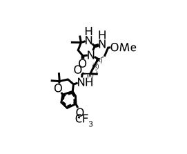 COCC[C@H]([C@@H]1C[C@H]1C(=O)NC1CC(C)(C)Oc2ccc(OC(F)(F)F)cc21)N1C(=N)NC(C)(C)CC1=O